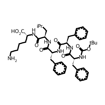 CC(C)C[C@@H](NC(=O)[C@@H](Cc1ccccc1)NC(=O)[C@@H](Cc1ccccc1)NC(=O)[C@@H](Cc1ccccc1)NC(=O)OC(C)(C)C)C(=O)N[C@H](CCCCN)C(=O)O